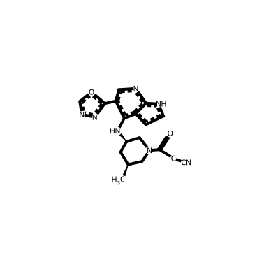 C[C@H]1C[C@@H](Nc2c(-c3nnco3)cnc3[nH]ccc23)CN(C(=O)CC#N)C1